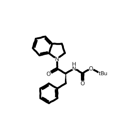 CC(C)(C)OC(=O)N[C@@H](Cc1ccccc1)C(=O)N1CCc2ccccc21